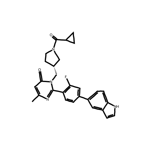 Cc1cc(=O)n(C[C@@H]2CCN(C(=O)C3CC3)C2)c(-c2ccc(-c3ccc4[nH]ccc4c3)cc2F)n1